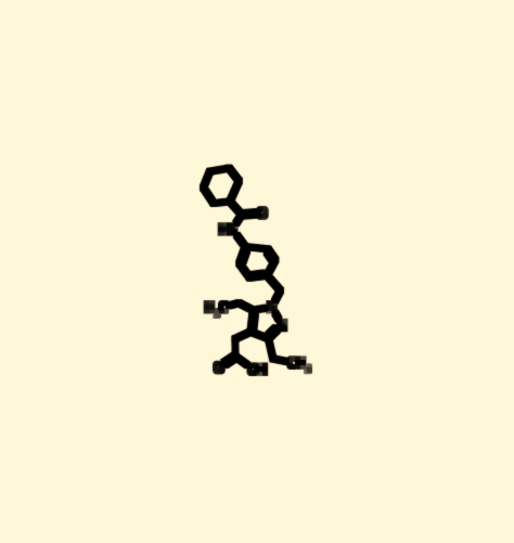 CCc1nn(Cc2ccc(NC(=O)C3CCCCC3)cc2)c(CC)c1CC(=O)O